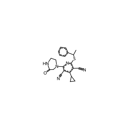 CC(Sc1nc(N2CCNC(=O)C2)c(C#N)c(C2CC2)c1C#N)c1ccccc1